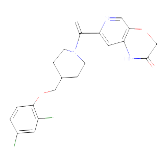 C=C(c1cc2c(cn1)OCC(=O)N2)N1CCC(COc2ccc(F)cc2Cl)CC1